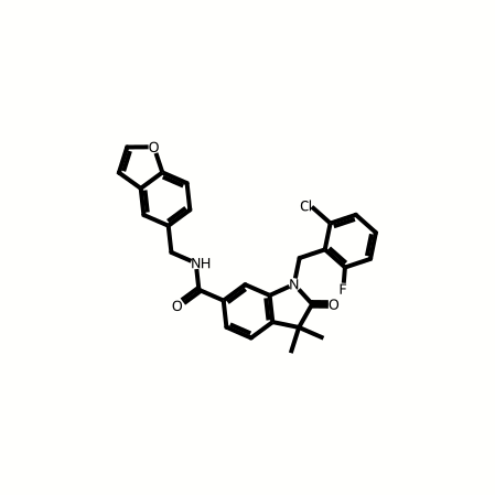 CC1(C)C(=O)N(Cc2c(F)cccc2Cl)c2cc(C(=O)NCc3ccc4occc4c3)ccc21